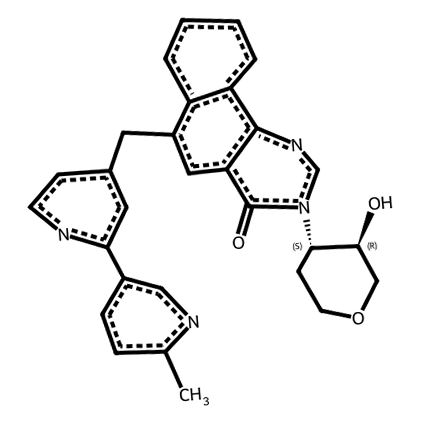 Cc1ccc(-c2cc(Cc3cc4c(=O)n([C@H]5CCOC[C@@H]5O)cnc4c4ccccc34)ccn2)cn1